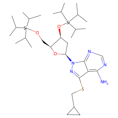 CC(C)[Si](OC[C@@H]1O[C@H](n2nc(SCC3CC3)c3c(N)ncnc32)C[C@@H]1O[Si](C(C)C)(C(C)C)C(C)C)(C(C)C)C(C)C